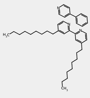 CCCCCCCCCc1ccnc(-c2cc(CCCCCCCCC)ccn2)c1.c1ccc(-c2ccncc2)cc1